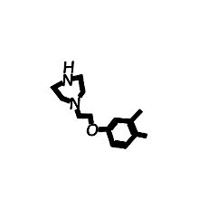 Cc1ccc(OCCN2CCNCC2)cc1C